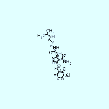 CC(C)NCCCNC(=O)Nc1snc(OCc2cccc(Cl)c2Cl)c1C(N)=O